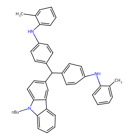 CCCCn1c2ccccc2c2cc(C(c3ccc(Nc4ccccc4C)cc3)c3ccc(Nc4ccccc4C)cc3)ccc21